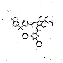 C=C/C(=C\C=C/C)n1c(C=C)c(/C=C(\C)c2ccc3c(c2)C(C)(C)c2ccc4ncsc4c2-3)c(/C=C(\C)c2nc(-c3ccccc3)nc(-c3ccccc3)n2)c1C=C